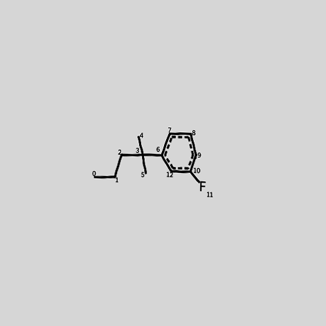 CCCC(C)(C)c1cc[c]c(F)c1